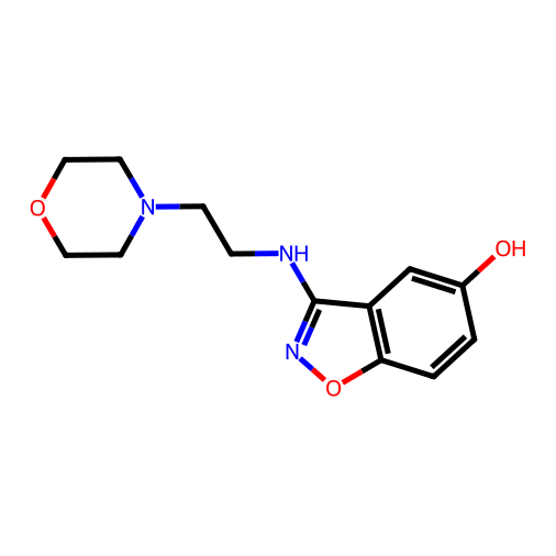 Oc1ccc2onc(NCCN3CCOCC3)c2c1